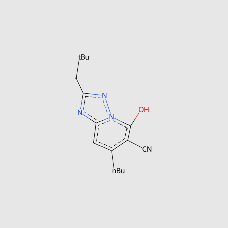 CCCCc1cc2nc(CC(C)(C)C)nn2c(O)c1C#N